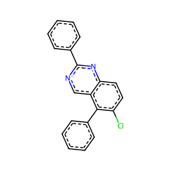 Clc1ccc2nc(-c3ccccc3)ncc2c1-c1ccccc1